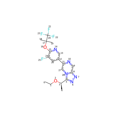 CCO[C@H](C)c1nnc2cnc(-c3cnc(OC(C)(C)C(F)(F)F)c(F)c3)cn12